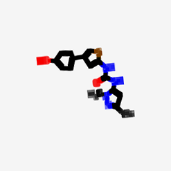 Cn1nc(C(C)(C)C)cc1NC(=O)Nc1cc(-c2ccc(O)cc2)cs1